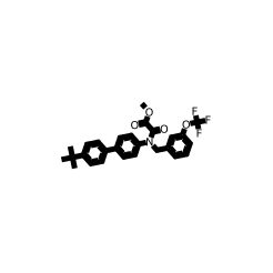 COC(=O)C(=O)N(Cc1cccc(OC(F)(F)F)c1)c1ccc(-c2ccc(C(C)(C)C)cc2)cc1